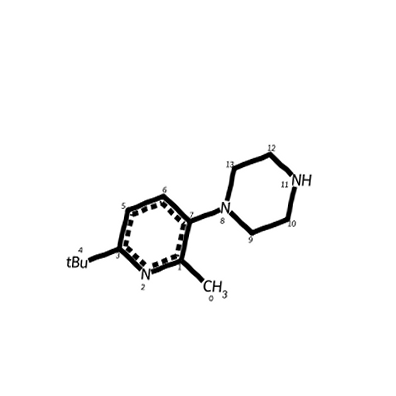 Cc1nc(C(C)(C)C)ccc1N1CCNCC1